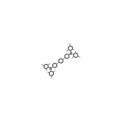 Cc1cc(C)c(B(c2ccc(-c3ccc(-c4ccc(B(c5c(C)cc(C)cc5C)c5c(C)cc(C)cc5C)cc4)cc3)cc2)c2c(C)cc(C)cc2C)c(C)c1